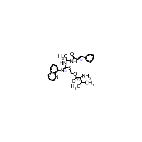 CC(NC(=O)/C=C/c1ccccc1)N/C(=N\c1cccc2cccnc12)SCOC(=O)[C@@H](N)C(C)C